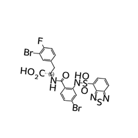 O=C(N[C@@H](Cc1ccc(F)c(Br)c1)C(=O)O)c1ccc(Br)cc1NS(=O)(=O)c1cccc2nsnc12